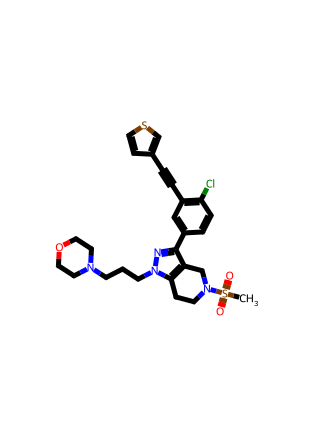 CS(=O)(=O)N1CCc2c(c(-c3ccc(Cl)c(C#Cc4ccsc4)c3)nn2CCCN2CCOCC2)C1